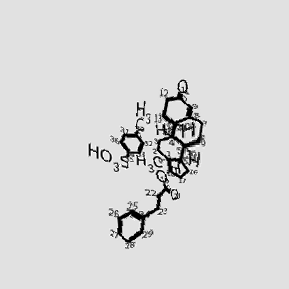 C[C@]12CC[C@H]3[C@@H](CCC4=CC(=O)CC[C@@H]43)[C@@H]1CC[C@@H]2OC(=O)CCc1ccccc1.Cc1ccc(S(=O)(=O)O)cc1